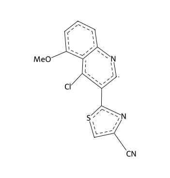 COc1cccc2n[c]c(-c3nc(C#N)cs3)c(Cl)c12